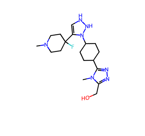 CN1CCC(F)(C2=CNNN2C2CCC(c3nnc(CO)n3C)CC2)CC1